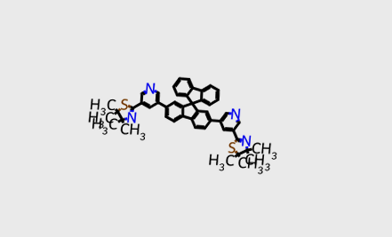 CC1(C)N=C(c2cncc(-c3ccc4c(c3)C3(c5ccccc5-c5ccccc53)c3cc(-c5cncc(C6=NC(C)(C)C(C)(C)S6)c5)ccc3-4)c2)SC1(C)C